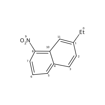 CCc1ccc2cccc([N+](=O)[O-])c2c1